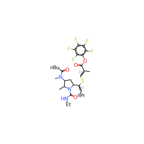 CCC/C=C(/S/C=C(\C)C(=O)Oc1c(F)c(F)c(F)c(F)c1F)C1CC(N(C)C(=O)CCCC)C(C)N1C(=O)NCC